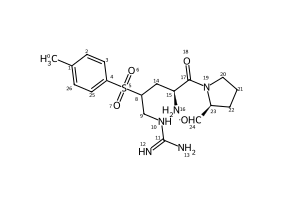 Cc1ccc(S(=O)(=O)C(CNC(=N)N)C[C@H](N)C(=O)N2CCC[C@H]2[C]=O)cc1